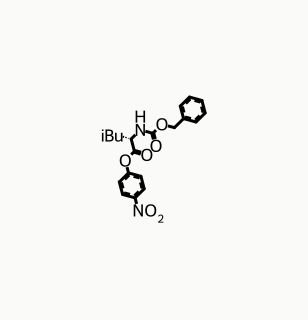 CCC(C)[C@H](NC(=O)OCc1ccccc1)C(=O)Oc1ccc([N+](=O)[O-])cc1